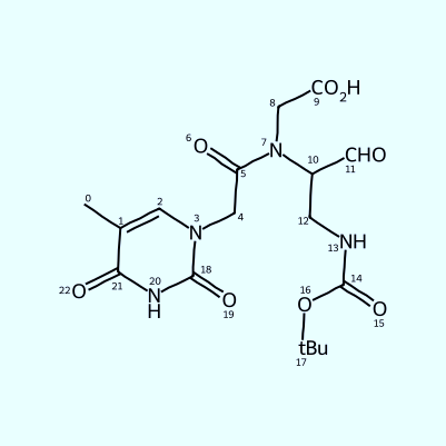 Cc1cn(CC(=O)N(CC(=O)O)C(C=O)CNC(=O)OC(C)(C)C)c(=O)[nH]c1=O